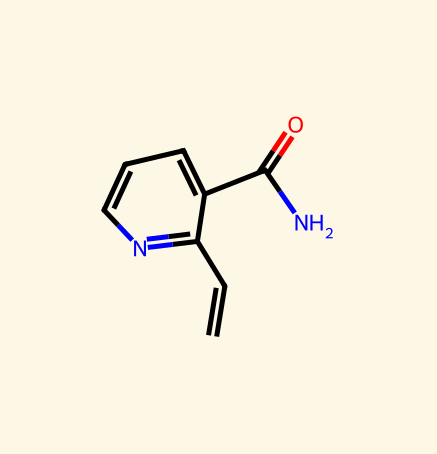 C=Cc1ncccc1C(N)=O